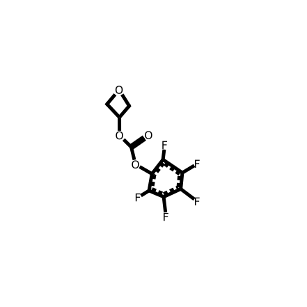 O=C(Oc1c(F)c(F)c(F)c(F)c1F)OC1COC1